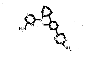 Nc1cnc(-c2ccc(-c3ccccc3Sc3cncc(N)n3)c(F)c2)cn1